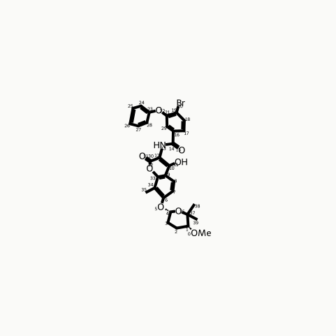 CO[C@@H]1CC[C@H](Oc2ccc3c(O)c(NC(=O)c4ccc(Br)c(Oc5ccccc5)c4)c(=O)oc3c2C)OC1(C)C